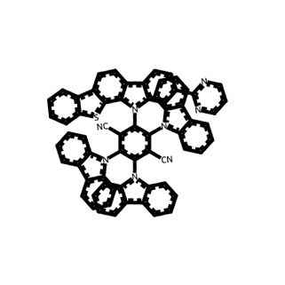 N#Cc1c(-n2c3ccccc3c3ccccc32)c(-n2c3ccccc3c3ccccc32)c(C#N)c(-n2c3cc(-c4ncccn4)ccc3c3ccc4c5ccccc5sc4c32)c1-n1c2ccccc2c2ccccc21